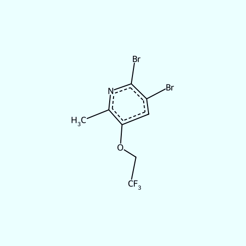 Cc1nc(Br)c(Br)cc1OCC(F)(F)F